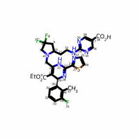 CCOC(=O)C1=C(CN2CC(F)(F)CC2CCNc2ncc(C(=O)O)cn2)NC(c2nccs2)=N[C@H]1c1cccc(F)c1C